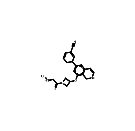 CNCC(=O)N1CC(Oc2cc(C3C=C(C#N)C=CC3)cc3c2CNC=C3)C1